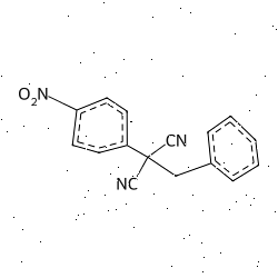 N#CC(C#N)(Cc1ccccc1)c1ccc([N+](=O)[O-])cc1